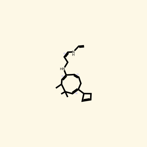 C=CN/C=C\CNC1=C/C(C)C(C)(C)/C=C(/C2C=CC2)C/C=C\1